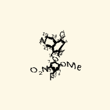 COc1cc(F)c([N+](=O)[O-])cc1OCc1c(F)cc(Cl)c2ccncc12